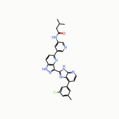 Cc1cc(F)cc(-c2ccnc3[nH]c(-c4n[nH]c5ccc(-c6cncc(NC(=O)CC(C)C)c6)nc45)nc23)c1